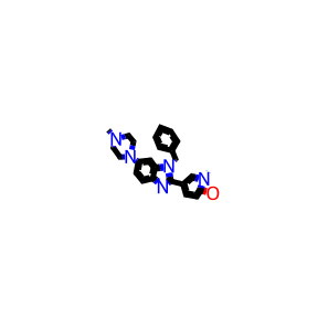 CN1CCN(c2ccc3nc(-c4ccc(=O)n(C)c4)n(Cc4ccccc4)c3c2)CC1